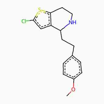 COc1ccc(CCC2NCCc3sc(Cl)cc32)cc1